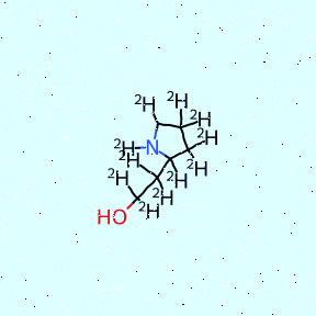 [2H]C1N([2H])C([2H])(C([2H])([2H])C([2H])([2H])O)C([2H])([2H])C1([2H])[2H]